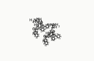 CCC(NC(=N)N)[C@@H]1N[C@H](CNC(=O)c2cnc3ccccc3n2)CCN(CC(c2ccccc2)c2ccccc2)C1=O.N=C(N)NCCC[C@@H]1N[C@H](CNC(=O)c2cnc3ccccc3c2)CCN(CC(c2ccccc2)c2ccccc2)C1=O